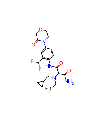 NC(=O)[C@H](C(=O)Nc1ccc(N2CCOCC2=O)cc1C(F)F)N(CC1CC1)CC(F)(F)F